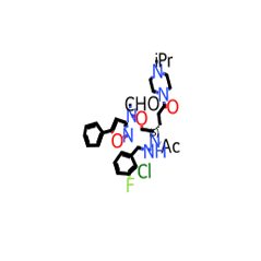 CC(=O)N(NCc1cccc(F)c1Cl)[C@@H](CCC(=O)N1CCN(C(C)C)CC1)CON(C=O)c1cc(-c2ccccc2)on1